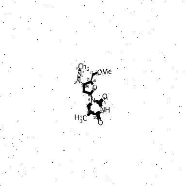 C=[N+]=N[C@H]1C[C@H](n2cc(C)c(=O)[nH]c2=O)O[C@@H]1COC